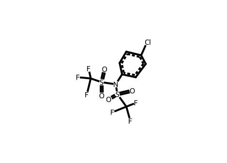 O=S(=O)(N(c1ccc(Cl)cc1)S(=O)(=O)C(F)(F)F)C(F)(F)F